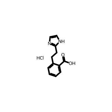 Cl.O=C(O)c1ccccc1CCc1ncc[nH]1